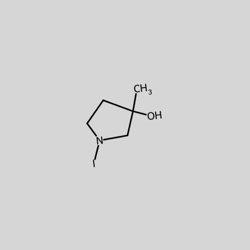 CC1(O)CCN(I)C1